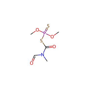 COP(=S)(OC)SC(=O)N(C)C=O